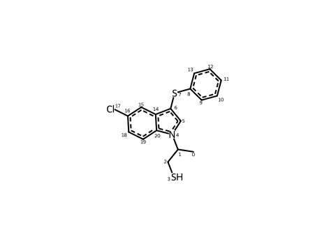 CC(CS)n1cc(Sc2ccccc2)c2cc(Cl)ccc21